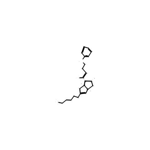 OCCCCCC1=C[C@@H]2C[C@@H](O)[C@H](C(O)=CCCOc3ccccc3)[C@@H]2C1